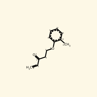 C=CC(=O)CCOc1ccccc1C